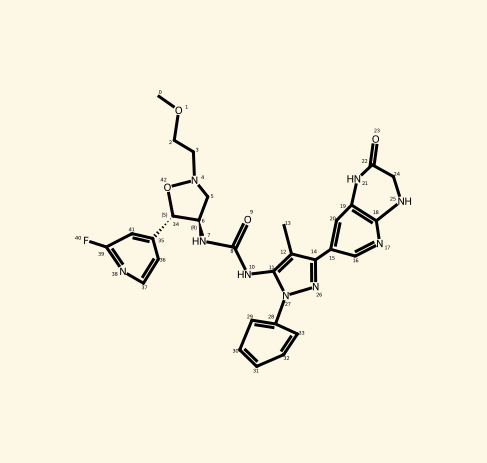 COCCN1C[C@@H](NC(=O)Nc2c(C)c(-c3cnc4c(c3)NC(=O)CN4)nn2-c2ccccc2)[C@H](c2ccnc(F)c2)O1